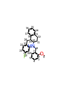 COc1ccccc1CN[C@@H]1CCc2ccccc2[C@@H]1Cc1ccc(F)cc1